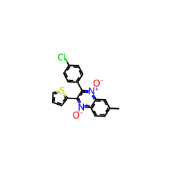 Cc1ccc2c(c1)[n+]([O-])c(-c1ccc(Cl)cc1)c(-c1cccs1)[n+]2[O-]